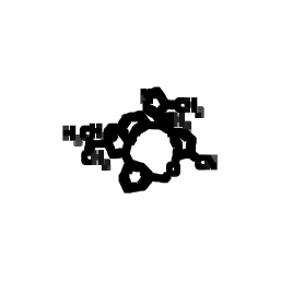 C=C(C)C(=O)/C=C1/c2cccc(c2)COc2cc(ccc2C#N)[C@](N)(C2=CN=CC2=C)c2ccc(C)c1c2